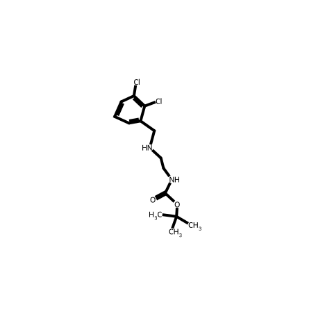 CC(C)(C)OC(=O)NCCNCc1cccc(Cl)c1Cl